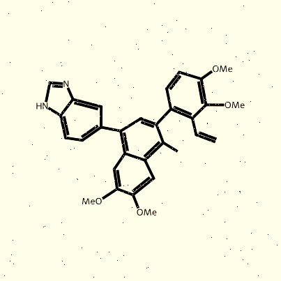 C=Cc1c(-c2cc(-c3ccc4[nH]cnc4c3)c3cc(OC)c(OC)cc3c2C)ccc(OC)c1OC